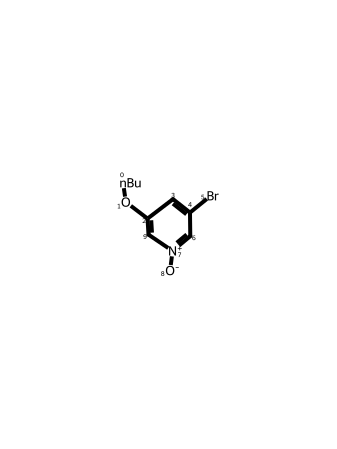 CCCCOc1cc(Br)c[n+]([O-])c1